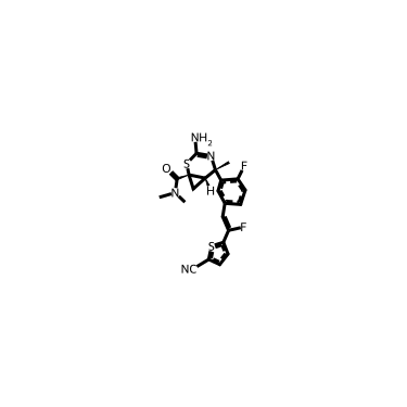 CN(C)C(=O)[C@]12C[C@H]1[C@@](C)(c1cc(/C=C(\F)c3ccc(C#N)s3)ccc1F)N=C(N)S2